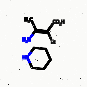 C1CCNCC1.CCC(C(=O)O)=C(C)N